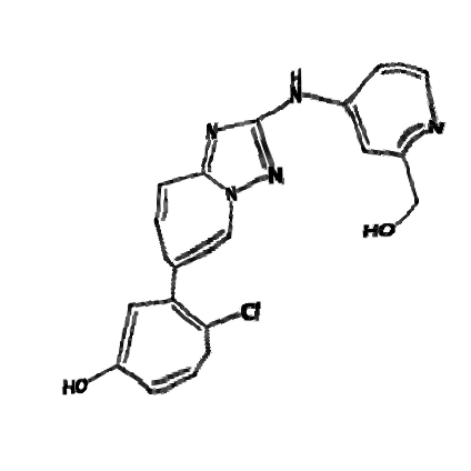 OCc1cc(Nc2nc3ccc(-c4cc(O)ccc4Cl)cn3n2)ccn1